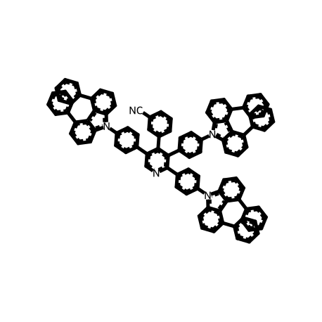 N#Cc1cccc(-c2c(-c3ccc(-n4c5cccc(-c6ccccc6)c5c5c(-c6ccccc6)cccc54)cc3)cnc(-c3ccc(-n4c5cccc(-c6ccccc6)c5c5c(-c6ccccc6)cccc54)cc3)c2-c2ccc(-n3c4cccc(-c5ccccc5)c4c4c(-c5ccccc5)cccc43)cc2)c1